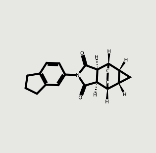 O=C1[C@@H]2[C@@H]3CC[C@@H]([C@@H]4C[C@@H]43)[C@@H]2C(=O)N1c1ccc2c(c1)CCC2